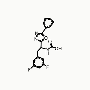 O=C(O)NC(Cc1cc(F)cc(F)c1)c1nnc(-c2ccccc2)o1